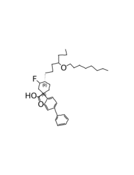 CCCCCCCCOC(CCC)CCC[C@@H]1CC[C@](C(=O)O)(c2ccc(-c3ccccc3)cc2)CC1F